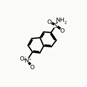 NS(=O)(=O)c1ccc2cc([N+](=O)[O-])ccc2c1